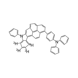 [2H]c1c([2H])c([2H])c2c(c1[2H])c1c3ccc4c(-c5ccc(N(c6ccccc6)c6ccccc6)cc5)ccc5ccc(cc1n2-c1ccccc1)c3c54